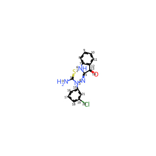 NC(=S)N(N=C1Nc2ccccc2C1=O)c1cccc(Cl)c1